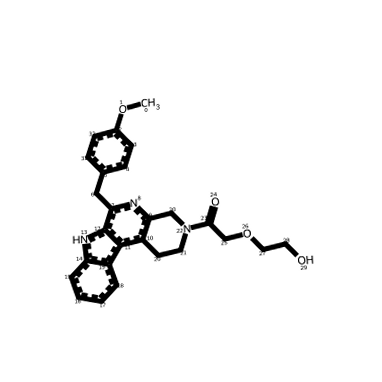 COc1ccc(Cc2nc3c(c4c2[nH]c2ccccc24)CCN(C(=O)COCCO)C3)cc1